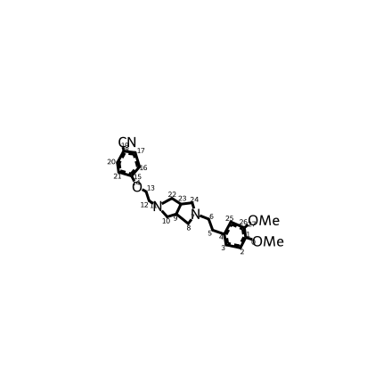 COc1ccc(CCN2CC3CN(CCOc4ccc(C#N)cc4)CC3C2)cc1OC